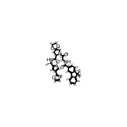 C[C@@H](NC(=O)C1CC2(CN1C(=O)CNC(=O)c1ccc3c(c1)-c1ccccc1C3(F)F)OCCO2)c1cc(-c2ncco2)cs1